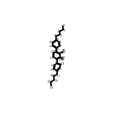 CCCCCc1ccc(-c2ccc(-c3ccc(CCCCC)cc3)c(F)c2F)cc1